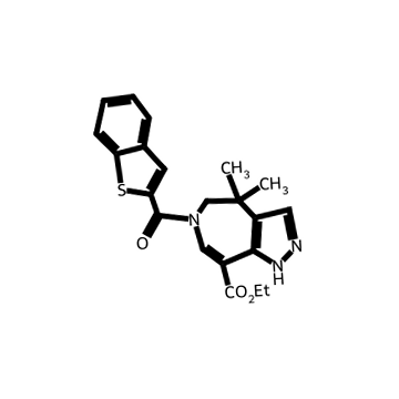 CCOC(=O)C1=CN(C(=O)c2cc3ccccc3s2)CC(C)(C)c2cn[nH]c21